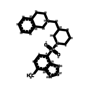 Cc1ccc(S(=O)(=O)N2CCCC(CN3CCc4ccccc4C3)C2)c2nsnc12